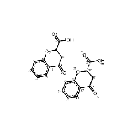 O=C1CC(C(=O)O)Oc2ccccc21.O=C1C[C@@H](C(=O)O)Oc2ccccc21